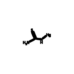 NC(=S)[NH][Hg]